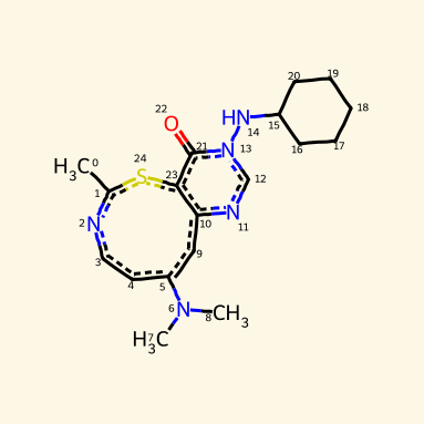 Cc1nccc(N(C)C)cc2ncn(NC3CCCCC3)c(=O)c2s1